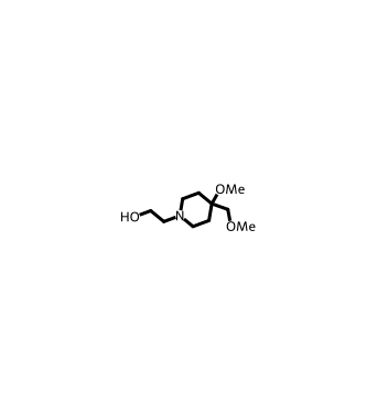 COCC1(OC)CCN(CCO)CC1